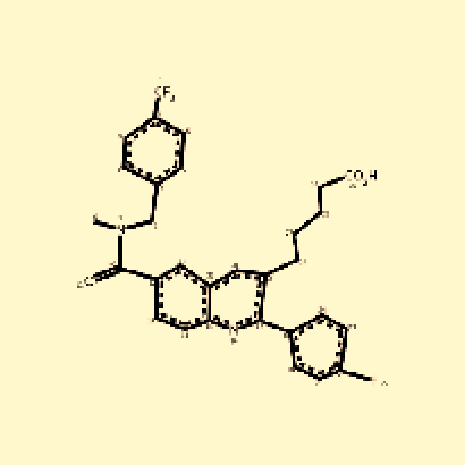 CN(Cc1ccc(C(F)(F)F)cc1)C(=O)c1ccc2nc(-c3ccc(F)cc3)c(CCCCC(=O)O)cc2c1